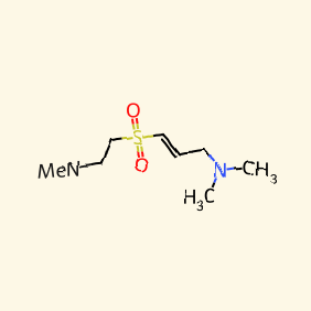 CNCCS(=O)(=O)/C=C/CN(C)C